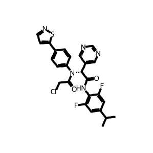 CC(C)c1cc(F)c(NC(=O)[C@@H](c2cncnc2)N(C(=O)CCl)c2ccc(-c3ccns3)cc2)c(F)c1